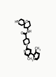 Cc1cnc(N2CCC(C(=O)NC3CCOC4(CCNCC4)C3)CC2)cc1-c1ncccc1C